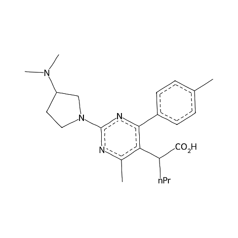 CCCC(C(=O)O)c1c(C)nc(N2CCC(N(C)C)C2)nc1-c1ccc(C)cc1